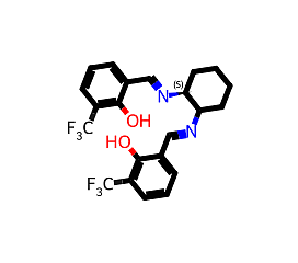 Oc1c(C=NC2CCCC[C@@H]2N=Cc2cccc(C(F)(F)F)c2O)cccc1C(F)(F)F